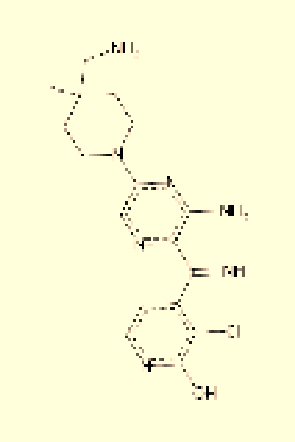 CC1(CN)CCN(c2cnc(C(=N)c3ccnc(O)c3Cl)c(N)n2)CC1